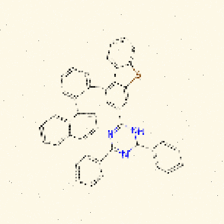 c1ccc(C2=NC(c3ccccc3)NC(c3cc(-c4ccccc4-c4cccc5ccccc45)c4c(c3)sc3ccccc34)=N2)cc1